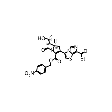 CCC(=O)c1ncn2c(C3=C(C(=O)OCc4ccc([N+](=O)[O-])cc4)N4C(=O)[C@H]([C@@H](C)O)[C@H]4C3)csc12